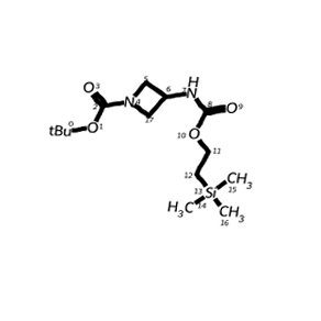 CC(C)(C)OC(=O)N1CC(NC(=O)OCC[Si](C)(C)C)C1